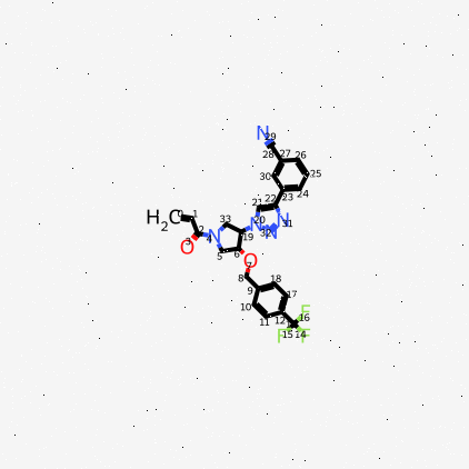 C=CC(=O)N1CC(OCc2ccc(C(F)(F)F)cc2)C(n2cc(-c3cccc(C#N)c3)nn2)C1